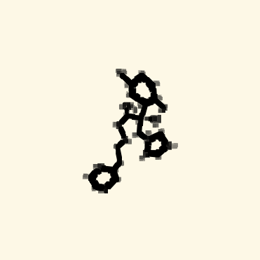 C[C@@H](SSCCc1cnccn1)[C@](O)(Cn1cncn1)c1cc(F)ccc1F